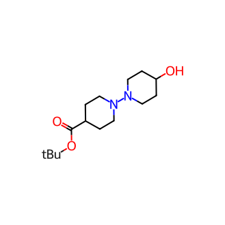 CC(C)(C)OC(=O)C1CCN(N2CCC(O)CC2)CC1